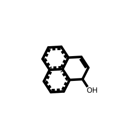 OC1C=Cc2cccc3cccc1c23